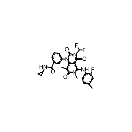 Cc1ccc(Nc2c3c(=O)n(C(F)F)c(=O)n(-c4cccc(C(=O)NC5CC5)c4)c3c(C)c(=O)n2C)c(F)c1